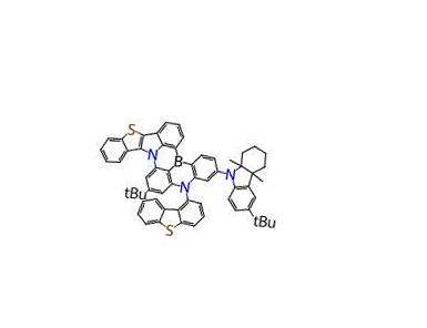 CC(C)(C)c1cc2c3c(c1)-n1c4c(cccc4c4sc5ccccc5c41)B3c1ccc(N3c4ccc(C(C)(C)C)cc4C4(C)CCCCC34C)cc1N2c1cccc2sc3ccccc3c12